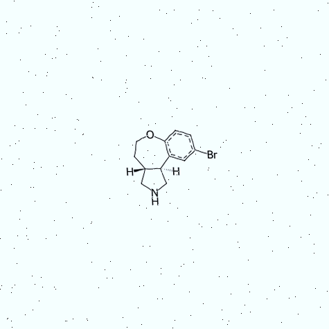 Brc1ccc2c(c1)[C@H]1CNC[C@@H]1CCO2